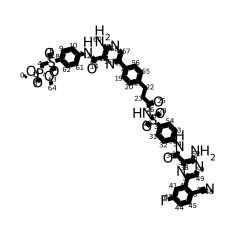 COP(=O)(CS(=O)(=O)c1ccc(NC(=O)c2nc(-c3ccc(CCC(=O)NS(=O)(=O)c4ccc(NC(=O)c5nc(-c6cc(F)ccc6C#N)cnc5N)cc4)cc3)cnc2N)cc1)OC